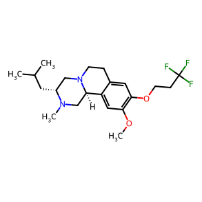 COc1cc2c(cc1OCCC(F)(F)F)CCN1C[C@@H](CC(C)C)N(C)C[C@H]21